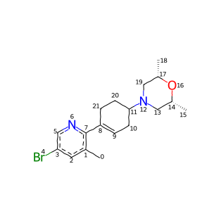 Cc1cc(Br)cnc1C1=CCC(N2C[C@@H](C)O[C@@H](C)C2)CC1